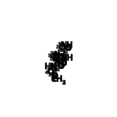 COc1cccc2[nH]c(C(=O)N3C[Si]4(CCCC4)CC3C(=O)NC(C#N)CC3CCCNC3=O)cc12